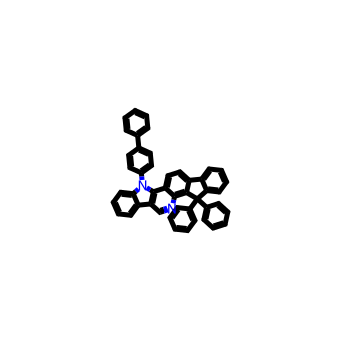 c1ccc(-c2ccc(-n3c4ccccc4c4cnc5c6c(ccc5c43)-c3ccccc3C6(c3ccccc3)c3ccccc3)cc2)cc1